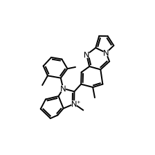 Cc1cc2cn3cccc3nc2cc1-c1n(-c2c(C)cccc2C)c2ccccc2[n+]1C